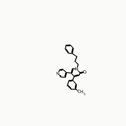 Cc1cccc(-c2cc(=O)n(CCCc3ccccc3)cc2-c2ccncc2)c1